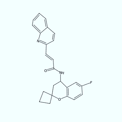 O=C(/C=C/c1ccc2ccccc2n1)NC1CC2(CCC2)Oc2ccc(F)cc21